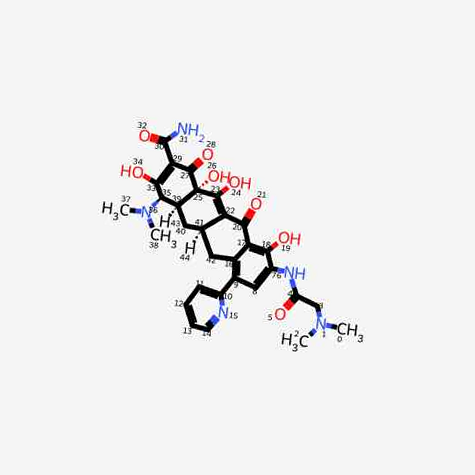 CN(C)CC(=O)Nc1cc(-c2ccccn2)c2c(c1O)C(=O)C1=C(O)[C@]3(O)C(=O)C(C(N)=O)=C(O)[C@H](N(C)C)[C@@H]3C[C@@H]1C2